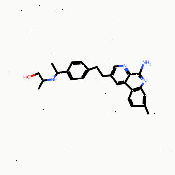 Cc1ccc2c(c1)nc(N)c1ncc(CCc3ccc(C(C)NC(C)CO)cc3)cc12